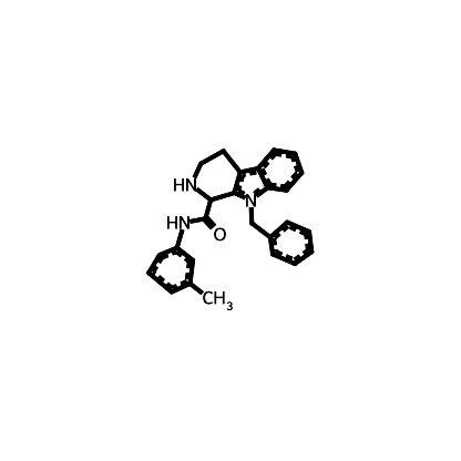 Cc1cccc(NC(=O)C2NCCc3c2n(Cc2ccccc2)c2ccccc32)c1